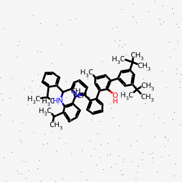 Cc1cc(-c2cc(C(C)(C)C)cc(C(C)(C)C)c2)c(O)c(-c2ccccc2-c2cccc(C(Nc3c(C(C)C)cccc3C(C)C)c3ccccc3C(C)C)n2)c1